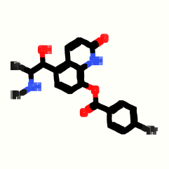 CCC(NC(C)C)C(O)c1ccc(OC(=O)c2ccc(C(C)C)cc2)c2[nH]c(=O)ccc12